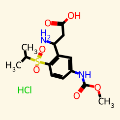 COC(=O)Nc1ccc(S(=O)(=O)C(C)C)c(C(N)CC(=O)O)c1.Cl